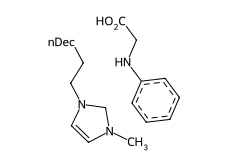 CCCCCCCCCCCCN1C=CN(C)C1.O=C(O)CNc1ccccc1